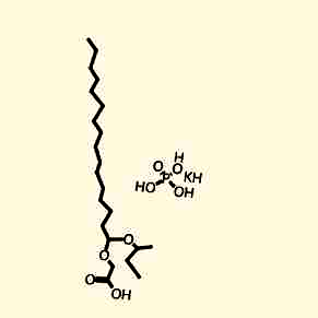 CCCCCCCCCCCCCCCC(OCC(=O)O)OC(C)CC.O=P(O)(O)O.[KH]